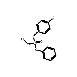 CCOP(=O)(Oc1ccccc1)Sc1ccc(Cl)cc1